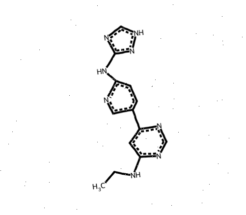 CCNc1cc(-c2ccc(Nc3nc[nH]n3)nc2)ncn1